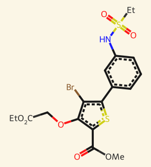 CCOC(=O)COc1c(C(=O)OC)sc(-c2cccc(NS(=O)(=O)CC)c2)c1Br